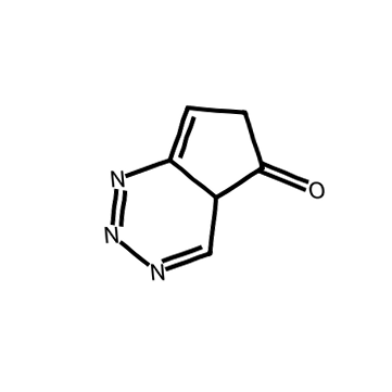 O=C1CC=C2N=NN=CC12